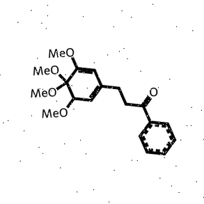 COC1=CC(CCC(=O)c2ccccc2)=CC(OC)C1(OC)OC